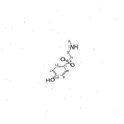 CNCCS(=O)(=O)c1ccc(O)cc1